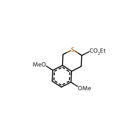 CCOC(=O)C1Cc2c(OC)ccc(OC)c2CS1